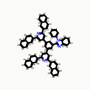 c1ccc(-n2c(-c3cc(-c4cc(-c5ccc6ccccc6c5)nc(-c5ccc6ccccc6c5)c4)cc(-c4cc(-c5ccc6ccccc6c5)nc(-c5ccc6ccccc6c5)c4)c3)nc3ccccc32)cc1